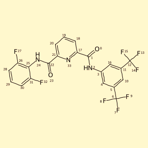 O=C(Nc1cc(C(F)(F)F)cc(C(F)(F)F)c1)c1cccc(C(=O)Nc2c(F)cccc2F)n1